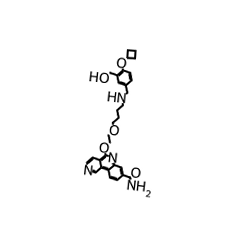 NC(=O)c1ccc2c(c1)nc(OCCOCCCCNCc1ccc(OC3CCC3)c(CO)c1)c1ccncc12